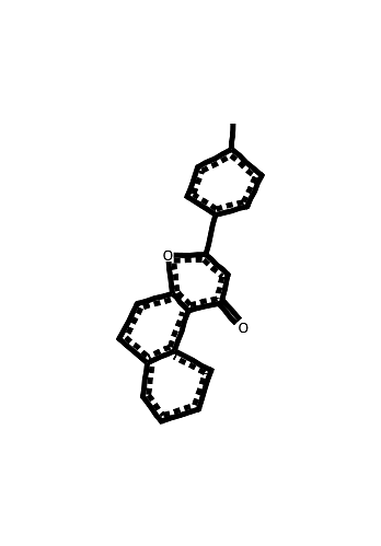 Cc1ccc(-c2cc(=O)c3c(ccc4ccccc43)o2)cc1